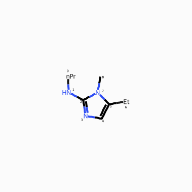 CCCNc1ncc(CC)n1C